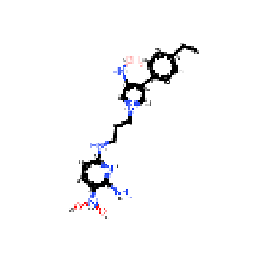 BNc1cn(CCCNc2ccc([N+](=O)[O-])c(N)n2)cc1-c1ccc(CC)cc1